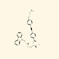 COC(=O)[C@@H](NC(=O)c1ccc(C#Cc2ccc(CNCC(F)F)cc2)cc1)[C@@H](C)NC(=O)OCC1c2ccccc2-c2ccccc21